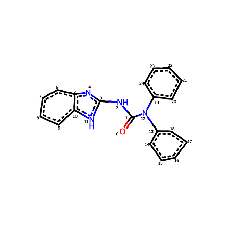 O=C(Nc1nc2ccccc2[nH]1)N(c1ccccc1)c1ccccc1